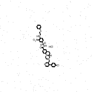 Cl.O=C(NS(=O)(=O)c1ccc(NCCSc2ccccc2)c([N+](=O)[O-])c1)c1ccc2c(c1)CC[C@@H]1CN(Cc3cnccc3-c3ccc(Cl)cc3)CCN21